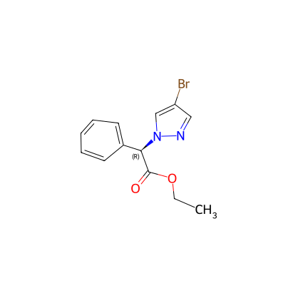 CCOC(=O)[C@@H](c1ccccc1)n1cc(Br)cn1